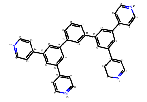 C1=NCCC(c2cc(-c3ccncc3)cc(-c3cccc(-c4cc(-c5ccncc5)cc(-c5ccncc5)c4)c3)c2)=C1